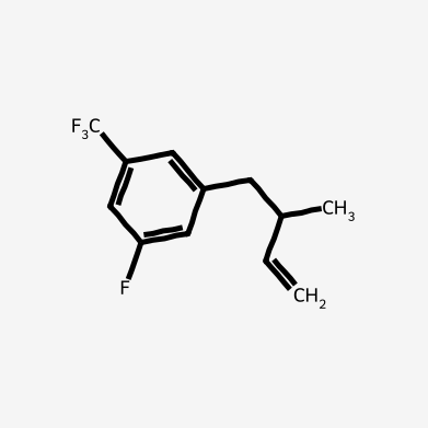 C=C[C](C)Cc1cc(F)cc(C(F)(F)F)c1